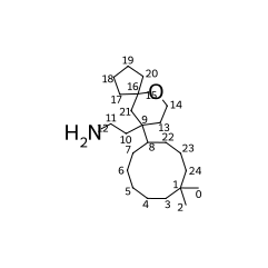 CC1(C)CCCCCC(C2(CCN)CCOC3(CCCC3)C2)CCC1